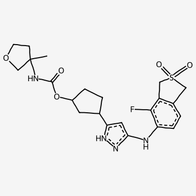 CC1(NC(=O)OC2CCC(c3cc(Nc4ccc5c(c4F)CS(=O)(=O)C5)n[nH]3)C2)CCOC1